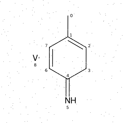 CC1=CCC(=N)C=C1.[V]